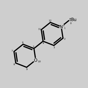 CC(C)(C)[n+]1ccc(C2=CC=CCO2)cc1